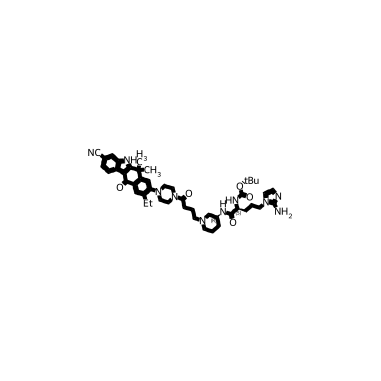 CCc1cc2c(cc1N1CCN(C(=O)CCCN3CCC[C@@H](NC(=O)[C@H](CCCn4ccnc4N)NC(=O)OC(C)(C)C)C3)CC1)C(C)(C)c1[nH]c3cc(C#N)ccc3c1C2=O